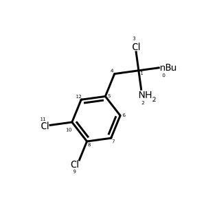 CCCCC(N)(Cl)Cc1ccc(Cl)c(Cl)c1